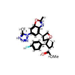 COC(=O)[C@H]1CC[C@@]2(C[C@@H](c3cc(-n4nnnc4C(F)(F)F)cc4oc(C)nc34)CO2)[C@@H]1c1ccc(F)cc1